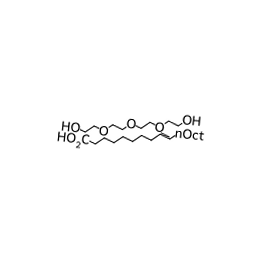 CCCCCCCCC=CCCCCCCCC(=O)O.OCCOCCOCCOCCO